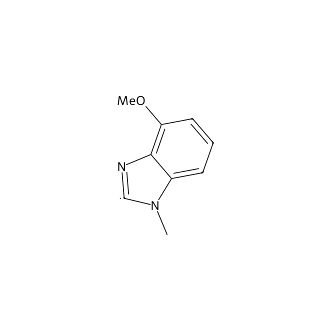 COc1cccc2c1n[c]n2C